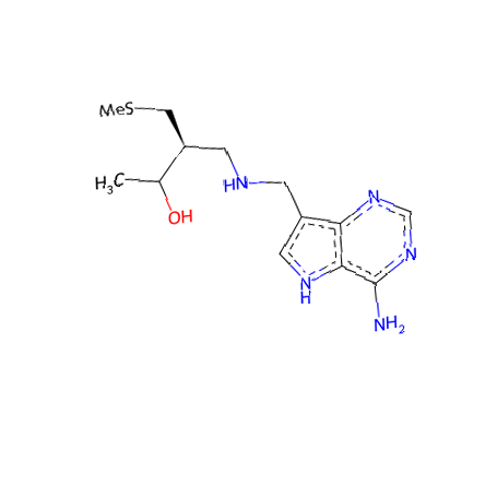 CSC[C@@H](CNCc1c[nH]c2c(N)ncnc12)C(C)O